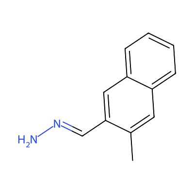 Cc1cc2ccccc2cc1C=NN